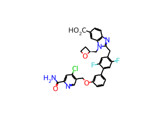 NC(=O)c1cc(Cl)c(COc2cccc(-c3cc(F)c(Cc4nc5ccc(C(=O)O)cc5n4C[C@@H]4CCO4)cc3F)c2)cn1